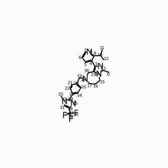 Cc1nc(-c2cccnc2C(C)C)c2n1CCCN(Cc1ccc(-c3nc(C(F)(F)F)cn3C)cc1)C2